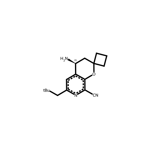 CC(C)(C)Cc1cc2c(c(C#N)n1)OC1(CCC1)C[C@@H]2N